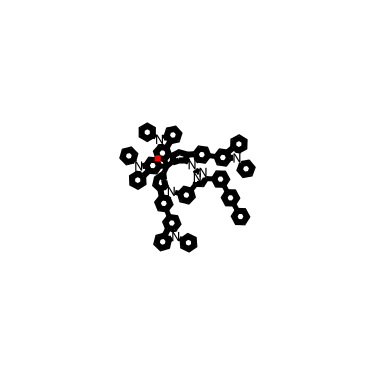 c1ccc(-c2ccc(-c3cccc(-c4cc5nc(n4)-n4c6cc(-c7ccc8c(c7)c7ccccc7n8-c7ccccc7)ccc6c6ccc(cc64)C(c4ccc6c(c4)c4ccccc4n6-c4ccccc4)(c4ccc6c(c4)c4ccccc4n6-c4ccccc4)c4ccc6c7ccc(-c8ccc9c(c8)c8ccccc8n9-c8ccccc8)cc7n(c6c4)-c4cccc-5c4)c3)cc2)cc1